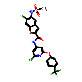 CS(=O)(=O)Nc1cc2cc(C(=O)Nc3cc(Cl)nc(Oc4ccc(C(F)(F)F)cc4)c3)sc2cc1Cl